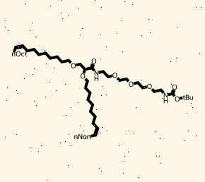 CCCCCCCC/C=C\CCCCCCCCOCC(OCCCCCCCC/C=C\CCCCCCCCC)C(=O)NCCOCCOCCOCCNC(=O)OC(C)(C)C